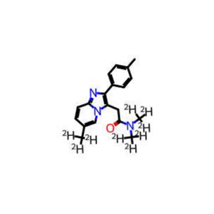 [2H]C([2H])([2H])c1ccc2nc(-c3ccc(C)cc3)c(CC(=O)N(C([2H])([2H])[2H])C([2H])([2H])[2H])n2c1